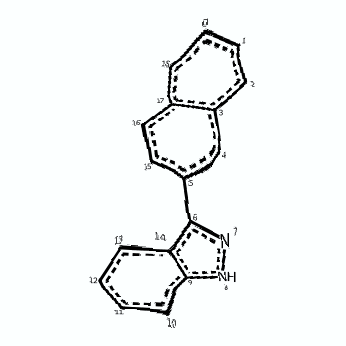 c1ccc2cc(-c3n[nH]c4ccccc34)ccc2c1